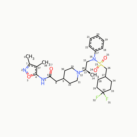 Cc1noc(NC(=O)CC2CCN([C@H](C)CN(c3ccccc3)S(=O)(=O)CC3CCC(F)(F)CC3)CC2)c1C